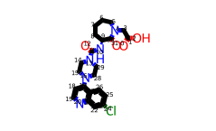 O=C(O)CN1CCCC[C@H](NC(=O)N2CCN(c3ccnc4cc(Cl)ccc34)CC2)C1=O